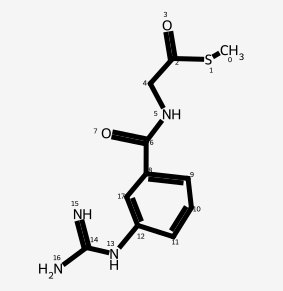 CSC(=O)CNC(=O)c1cccc(NC(=N)N)c1